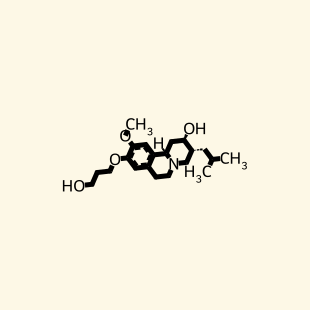 COc1cc2c(cc1OCCCO)CCN1C[C@@H](CC(C)C)[C@H](O)C[C@H]21